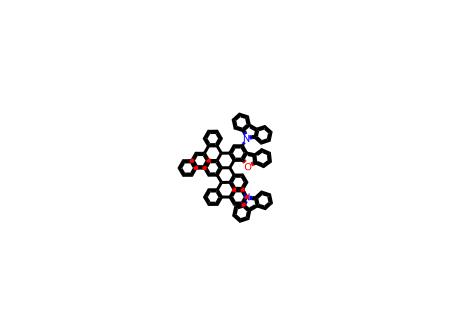 c1ccc(-c2cc3c4c(c2)C(c2ccccc2-c2ccccc2)c2cc(-n5c6ccccc6c6ccccc65)c5c(oc6ccccc65)c2C4c2ccc(-n4c5ccccc5c5ccccc54)cc2C3c2ccccc2-c2ccccc2)cc1